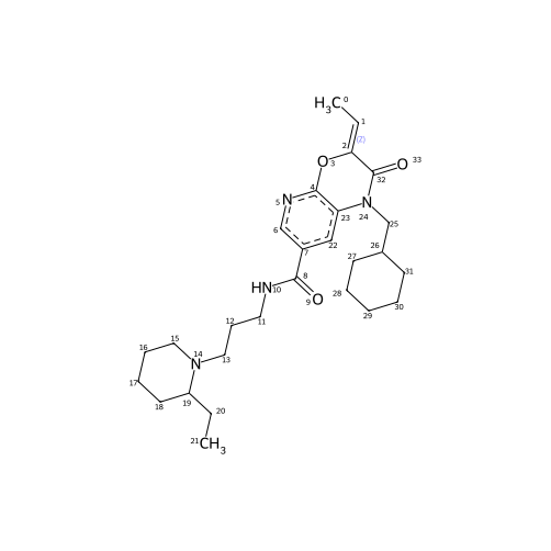 C/C=C1\Oc2ncc(C(=O)NCCCN3CCCCC3CC)cc2N(CC2CCCCC2)C1=O